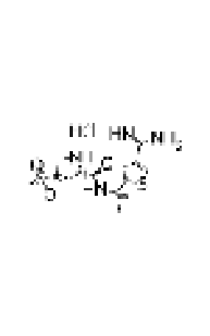 C[C@@H](NC(=O)[C@@H]1C[C@@H](S(C)(=O)=O)CN1)c1cc(C(=N)N)cs1.Cl